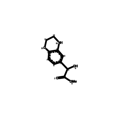 COC(=O)C(O)c1ccc2c(c1)NCCO2